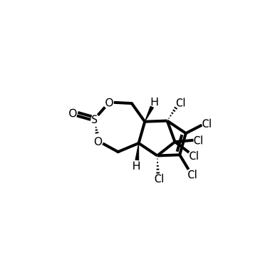 O=[S@]1OC[C@@H]2[C@H](CO1)[C@@]1(Cl)C(Cl)=C(Cl)[C@]2(Cl)C1(Cl)Cl